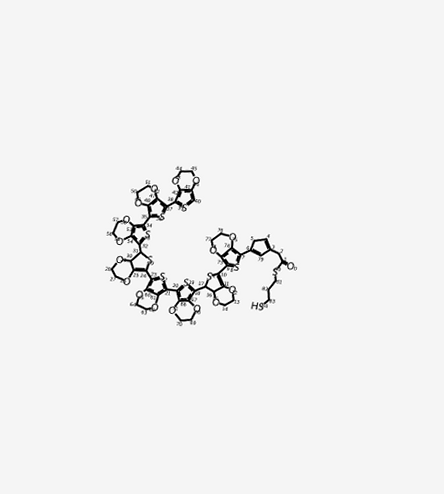 O=C(CC1=CCC(c2sc(C3=C4OCCOC4C(c4sc(-c5sc(C6=C7OCCOC7C(c7sc(-c8sc(-c9scc%10c9OCCO%10)c9c8OCCO9)c8c7OCCO8)S6)c6c5OCCO6)c5c4OCCO5)S3)c3c2OCCO3)=C1)SCCCS